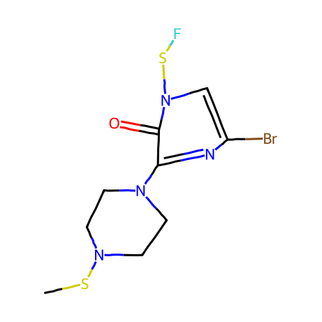 CSN1CCN(c2nc(Br)cn(SF)c2=O)CC1